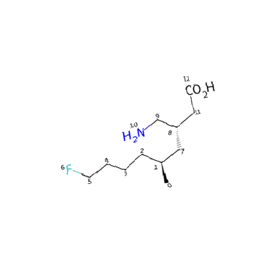 C[C@@H](CCCCF)C[C@H](CN)CC(=O)O